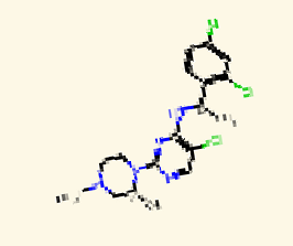 C[C@@H](Nc1nc(N2CCN(C(=O)O)C[C@@H]2C)ncc1Cl)c1ccc(Cl)cc1Cl